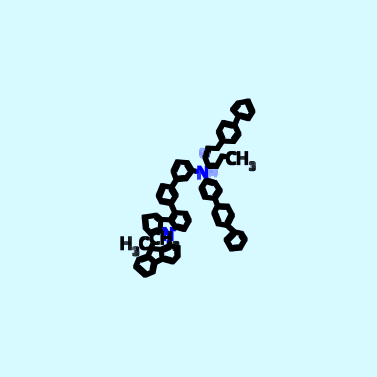 CC/C=C(\C=C/Cc1ccc(-c2ccccc2)cc1)N(c1ccc(-c2ccc(-c3ccccc3)cc2)cc1)c1cccc(-c2cccc(-c3cccc4c3c3ccccc3n4-c3cccc4c3C(C)(C)c3ccccc3-4)c2)c1